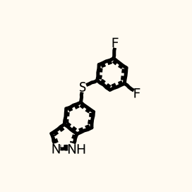 Fc1cc(F)cc(Sc2ccc3[nH]ncc3c2)c1